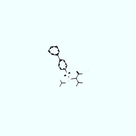 CC(C)ON(C(C(=O)NO)C(C)C)S(=O)(=O)c1ccc(-c2ccccc2)cc1